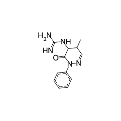 CC1C=NN(c2ccccc2)C(=O)C1NC(=N)N